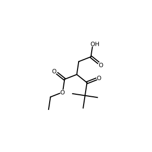 CCOC(=O)C(CC(=O)O)C(=O)C(C)(C)C